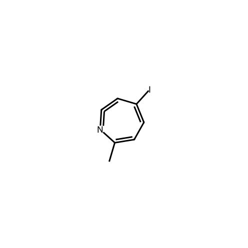 CC1=CC=C(I)C=C=N1